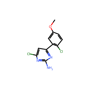 COc1ccc(Cl)c(-c2cc(Cl)nc(N)n2)c1